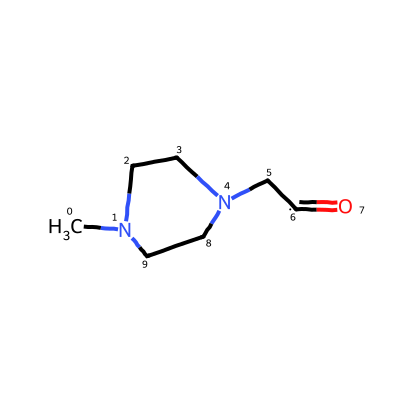 CN1CCN(C[C]=O)CC1